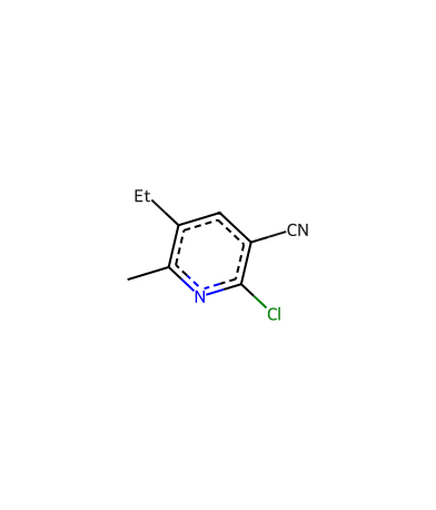 CCc1cc(C#N)c(Cl)nc1C